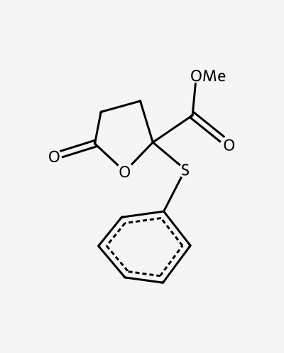 COC(=O)C1(Sc2ccccc2)CCC(=O)O1